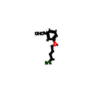 O=Cc1cccc(OCCCCBr)c1